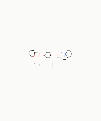 O=C(O)COc1ccccc1COc1ccc(OCc2ccc3ccccc3n2)cc1